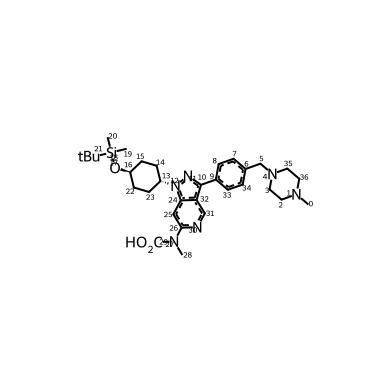 CN1CCN(Cc2ccc(-c3nn([C@H]4CC[C@H](O[Si](C)(C)C(C)(C)C)CC4)c4cc(N(C)C(=O)O)ncc34)cc2)CC1